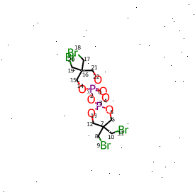 O=P1(OP2(=O)OCC(CBr)(CBr)CO2)OCC(CBr)(CBr)CO1